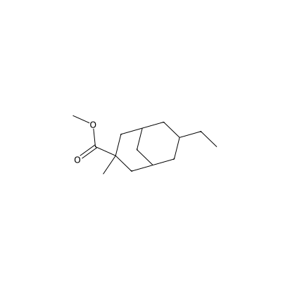 CCC1CC2CC(C1)CC(C)(C(=O)OC)C2